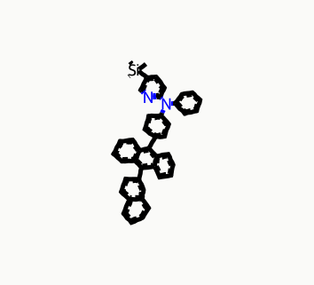 C[Si](C)(C)c1ccc(N(c2ccccc2)c2ccc(-c3c4ccccc4c(-c4ccc5ccccc5c4)c4ccccc34)cc2)nc1